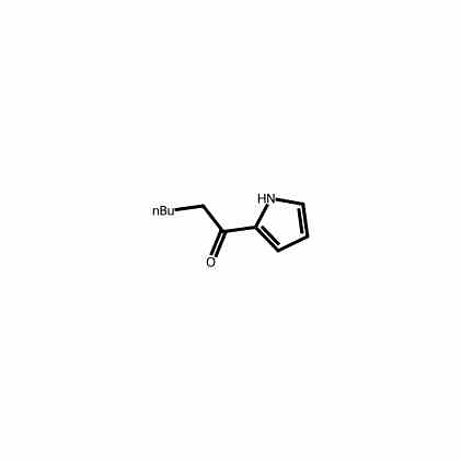 CCCCCC(=O)c1ccc[nH]1